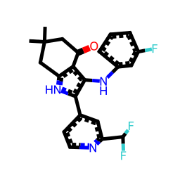 CC1(C)CC(=O)c2c([nH]c(-c3ccnc(C(F)F)c3)c2Nc2cccc(F)c2)C1